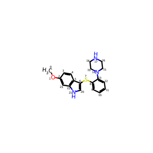 COc1ccc2c(Sc3ccccc3N3CCNCC3)c[nH]c2c1